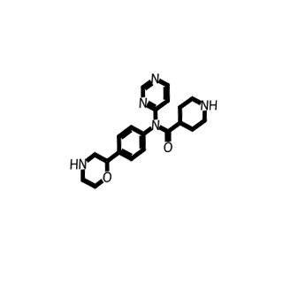 O=C(C1CCNCC1)N(c1ccc(C2CNCCO2)cc1)c1ccncn1